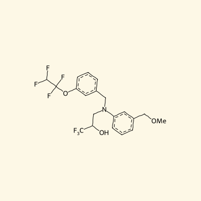 COCc1cccc(N(Cc2cccc(OC(F)(F)C(F)F)c2)CC(O)C(F)(F)F)c1